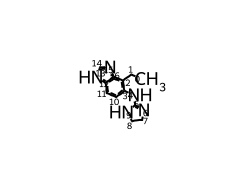 CCc1c(NC2=NCCN2)ccc2[nH]cnc12